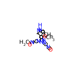 C=CC(=O)N1CC2(CCN(c3nc(N4CCC(N5CCOCC5)CC4)nc4c(OCC(F)(F)F)c(-c5c(C)ccc6[nH]ncc56)c(C5CC5)cc34)CC2)C1